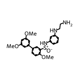 COc1cc(OC)cc(-c2ccc(OC)c([S+]([O-])Nc3cccc(NCCN)c3)c2)c1